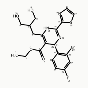 CCOC(=O)C1=C(CC(CO)CO)NC(c2nccs2)=N[C@H]1c1ccc(F)cc1Br